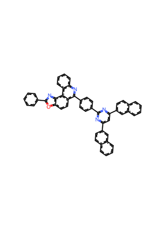 c1ccc(-c2nc3c(ccc4c(-c5ccc(-c6nc(-c7ccc8ccccc8c7)cc(-c7ccc8ccccc8c7)n6)cc5)nc5ccccc5c43)o2)cc1